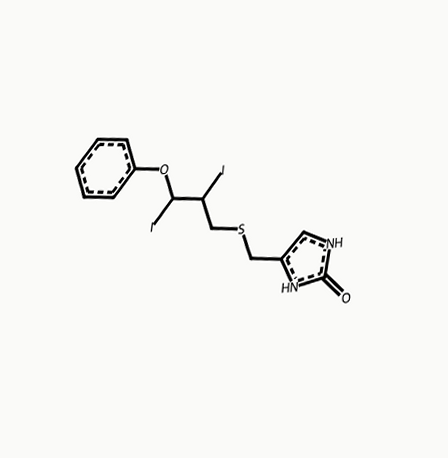 O=c1[nH]cc(CSCC(I)C(I)Oc2ccccc2)[nH]1